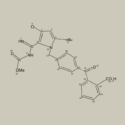 CCCCc1cc(Cl)c(C(=N)NC(=O)OC)n1Cc1ccc(C(=O)c2ccccc2C(=O)O)cc1